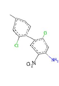 Cc1ccc(-c2cc([N+](=O)[O-])c(N)cc2Cl)c(Cl)c1